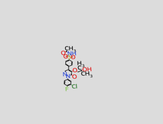 CC(=O)NS(=O)(=O)c1ccc(-c2cnn(-c3ccc(F)c(Cl)c3)c(=O)c2OCC(C)(C)O)cc1